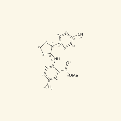 COC(=O)c1cc(C)ccc1NC1CCCN1c1ccc(C#N)cc1